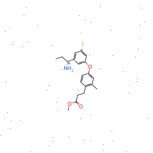 CC[C@@H](N)c1cc(F)cc(Oc2ccc(CCC(=O)OC)c(C)c2)c1